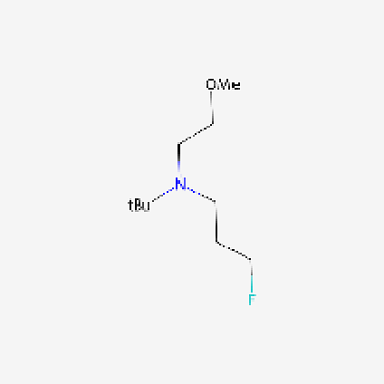 COCCN(CCCF)C(C)(C)C